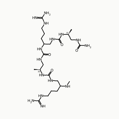 CNC(CCCNC(=N)N)CNC(=O)N[C@@H](C)CNC(=O)NC(CCCNC(=N)N)CNC(=O)N[C@@H](C)CNC(N)=O